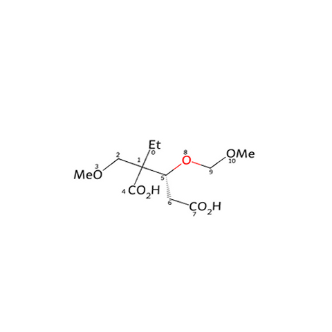 CCC(COC)(C(=O)O)[C@@H](CC(=O)O)OCOC